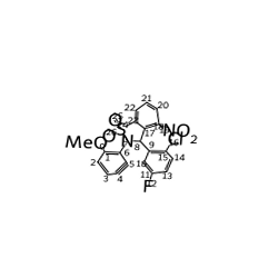 COc1ccc#cc1N1C(c2cc(F)ccc2Cl)c2c([N+](=O)[O-])cccc2S1(=O)=O